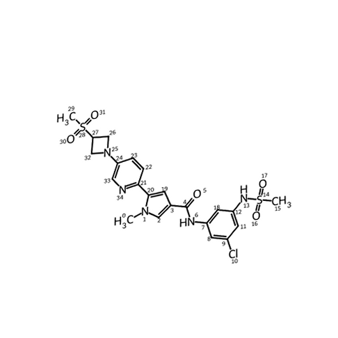 Cn1cc(C(=O)Nc2cc(Cl)cc(NS(C)(=O)=O)c2)cc1-c1ccc(N2CC(S(C)(=O)=O)C2)cn1